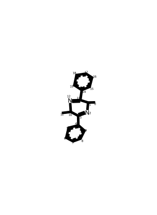 CC1N=C(c2ccccc2)C(C)N=C1c1ccccc1